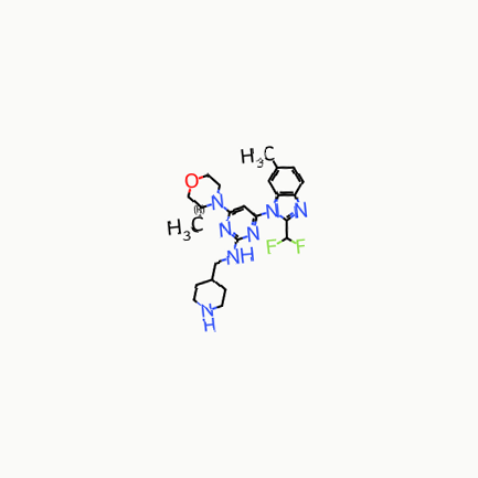 Cc1ccc2nc(C(F)F)n(-c3cc(N4CCOC[C@H]4C)nc(NCC4CCNCC4)n3)c2c1